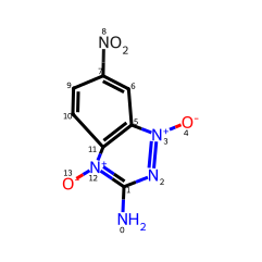 Nc1n[n+]([O-])c2cc([N+](=O)[O-])ccc2[n+]1[O-]